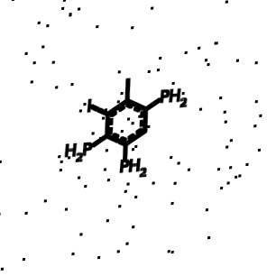 Cc1c(P)cc(P)c(P)c1I